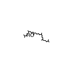 CC(C)CCCC(C)CCCC(C)CCCCC(CO)CCCC(C)CCCC(C)C